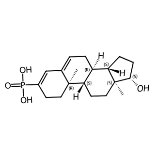 C[C@]12CC[C@H]3[C@@H](CC=C4C=C(P(=O)(O)O)CC[C@@]43C)[C@@H]1CC[C@@H]2O